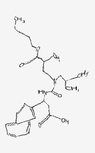 CCCCOC(=O)C(O)CN(CC(C)C)C(=O)NC(CC(=O)O)c1ccc2ccccc2c1